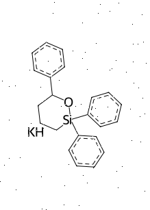 [KH].c1ccc(C2CCC[Si](c3ccccc3)(c3ccccc3)O2)cc1